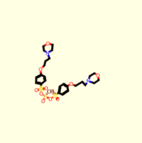 CP(=O)(OS(=O)(=O)c1ccc(OCCCN2CCOCC2)cc1)OS(=O)(=O)c1ccc(OCCCN2CCOCC2)cc1